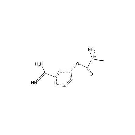 C[C@H](N)C(=O)Oc1cccc(C(=N)N)c1